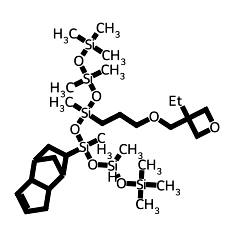 CCC1(COCCC[Si](C)(O[Si](C)(C)O[Si](C)(C)C)O[Si](C)(O[SiH](C)O[Si](C)(C)C)C2CC3CC2C2CC=CC32)COC1